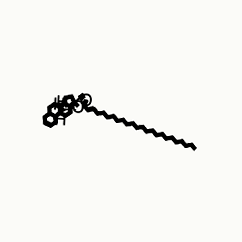 C#C[C@]1(OC(=O)C=CCCCCCCCCCCCCCCCCCCCCC)CC[C@H]2[C@@H]3CCC4CC=CC[C@@H]4[C@H]3CC[C@@]21C